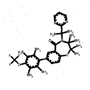 Bc1c(B)c(-c2ccc3c(c2)C(=O)N(C(B)(B)c2ncccn2)C(B)(B)C(B)(B)O3)c(B)c(B)c1OC(F)(F)F